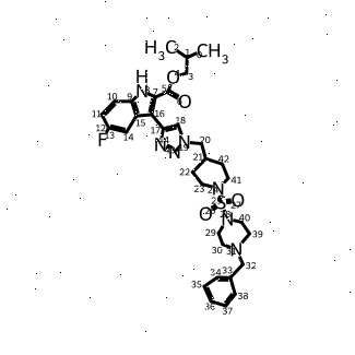 CC(C)COC(=O)c1[nH]c2ccc(F)cc2c1-c1cn(CC2CCN(S(=O)(=O)N3CCN(Cc4ccccc4)CC3)CC2)nn1